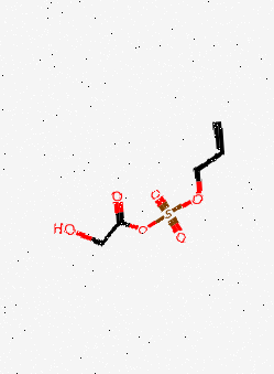 C=CCOS(=O)(=O)OC(=O)CO